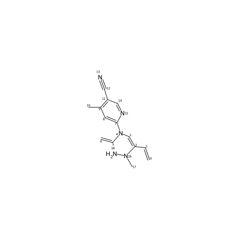 C=C/C(=C/N(C=C)c1cc(C)c(C#N)cn1)N(C)N